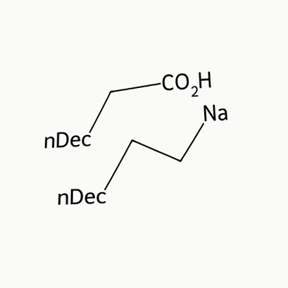 CCCCCCCCCCCC(=O)O.CCCCCCCCCCC[CH2][Na]